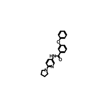 O=C(Nc1ccc(N2CCCC2)nc1)c1cccc(Oc2ccccc2)c1